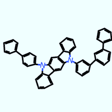 c1ccc(-c2ccc(-n3c4ccccc4c4cc5c(cc43)c3ccccc3n5-c3cccc(-c4cccc(-c5ccccc5)c4)c3)cc2)cc1